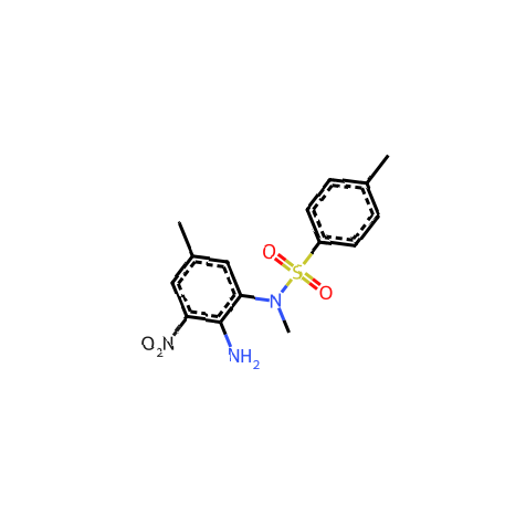 Cc1ccc(S(=O)(=O)N(C)c2cc(C)cc([N+](=O)[O-])c2N)cc1